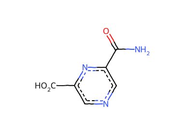 NC(=O)c1cncc(C(=O)O)n1